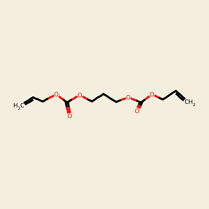 C=CCOC(=O)OCCCOC(=O)OCC=C